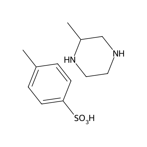 CC1CNCCN1.Cc1ccc(S(=O)(=O)O)cc1